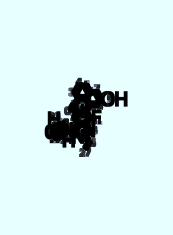 C#Cc1cccc2cc(O)cc(-c3ncc4c(N5C[C@H]6C[C@@H]5CO6)nc(CC)nc4c3F)c12